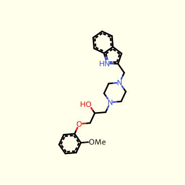 COc1ccccc1OCC(O)CN1CCN(Cc2cc3ccccc3[nH]2)CC1